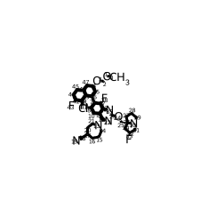 COCOc1cc(-c2c(Cl)cc3c(N4CCCC(C#N)CC4)nc(OC[C@@]45CCCN4C[C@H](F)C5)nc3c2F)c2c(F)c(F)ccc2c1